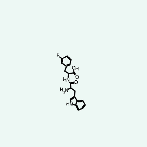 NC(Cc1c[nH]c2ccccc12)C(=O)NC(Cc1cccc(F)c1)C(=O)O